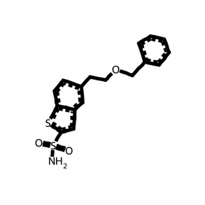 NS(=O)(=O)c1cc2cc(CCOCc3ccccc3)ccc2s1